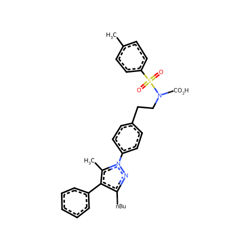 CCCCc1nn(-c2ccc(CCN(C(=O)O)S(=O)(=O)c3ccc(C)cc3)cc2)c(C)c1-c1ccccc1